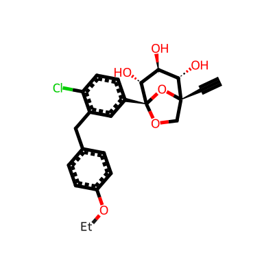 C#C[C@@]12CO[C@@](c3ccc(Cl)c(Cc4ccc(OCC)cc4)c3)(O1)[C@H](O)[C@@H](O)[C@@H]2O